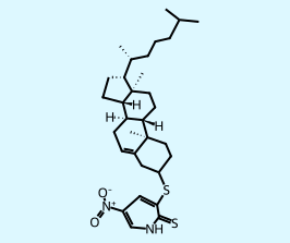 CC(C)CCC[C@@H](C)[C@H]1CC[C@H]2[C@@H]3CC=C4CC(Sc5cc([N+](=O)[O-])c[nH]c5=S)CC[C@]4(C)[C@H]3CC[C@]12C